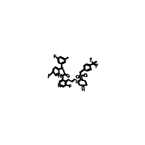 Cc1cc(F)cc([C@@H](CC(=O)Nc2cncc(F)c2CCC[C@H]2CNCCN2S(=O)(=O)Cc2ccc(C(C)(F)F)cc2)c2ccc(F)cc2)c1